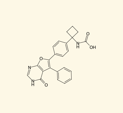 O=C(O)NC1(c2ccc(-c3oc4nc[nH]c(=O)c4c3-c3ccccc3)cc2)CCC1